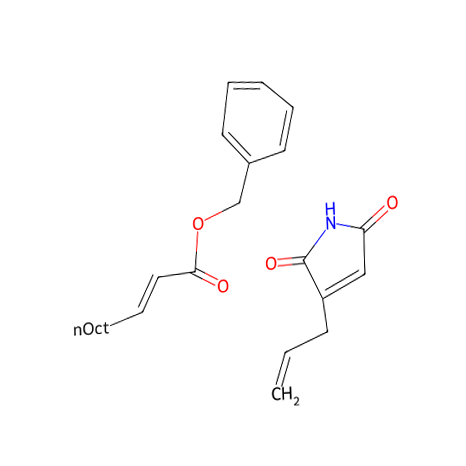 C=CCC1=CC(=O)NC1=O.CCCCCCCCC=CC(=O)OCc1ccccc1